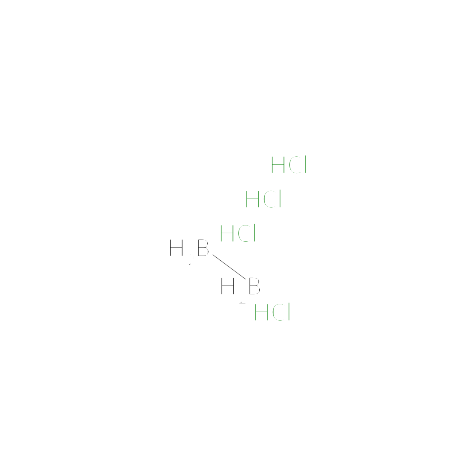 BB.Cl.Cl.Cl.Cl